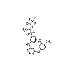 Cc1ccc(Nc2cc(Nc3cccc(S(=O)(=O)N(C)OC(=O)C(F)(F)F)c3)ncn2)cc1C